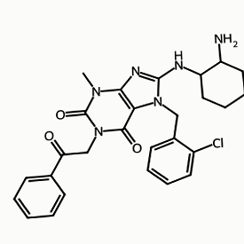 Cn1c(=O)n(CC(=O)c2ccccc2)c(=O)c2c1nc(NC1CCCCC1N)n2Cc1ccccc1Cl